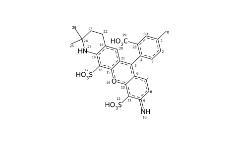 Cc1ccc(-c2c3ccc(=N)c(S(=O)(=O)O)c-3oc3c(S(=O)(=O)O)c4c(cc23)CCC(C)(C)N4)c(C(=O)O)c1